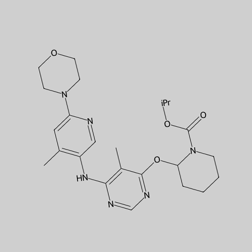 Cc1cc(N2CCOCC2)ncc1Nc1ncnc(OC2CCCCN2C(=O)OC(C)C)c1C